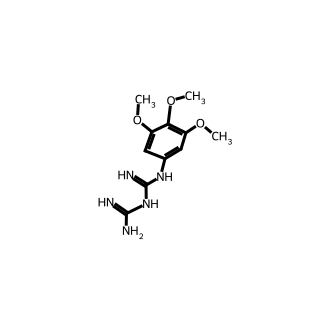 COc1cc(NC(=N)NC(=N)N)cc(OC)c1OC